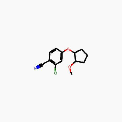 COC1CCCC1Oc1ccc(C#N)c(Cl)c1